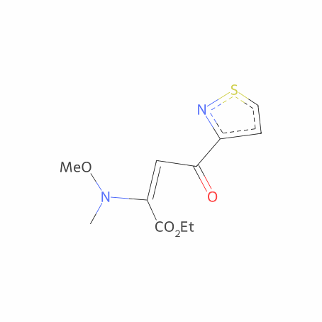 CCOC(=O)/C(=C\C(=O)c1ccsn1)N(C)OC